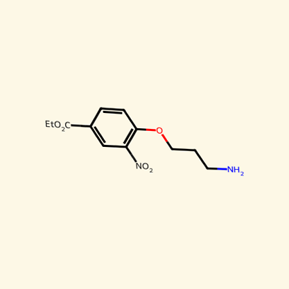 CCOC(=O)c1ccc(OCCCN)c([N+](=O)[O-])c1